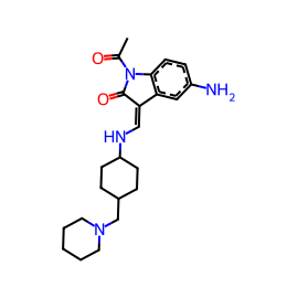 CC(=O)N1C(=O)C(=CNC2CCC(CN3CCCCC3)CC2)c2cc(N)ccc21